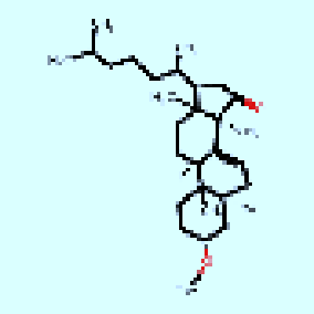 CO[C@H]1CC[C@@]2(C)[C@@H](CC=C3[C@@H]2CC[C@]2(C)[C@@H]([C@H](C)CCCC(C)C)CC(=O)[C@@]32C)C1